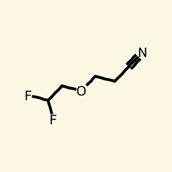 N#CCCOCC(F)F